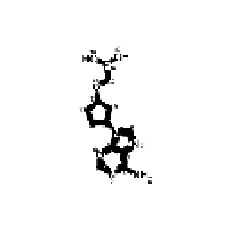 Nc1ncnc2c1ncn2C1CCC(OCP(O)O)C1